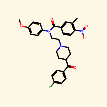 COc1ccc(N(CCN2CCC(C(=O)c3ccc(F)cc3)CC2)C(=O)c2ccc([N+](=O)[O-])c(C)c2)cc1